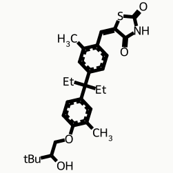 CCC(CC)(c1ccc(C=C2SC(=O)NC2=O)c(C)c1)c1ccc(OCC(O)C(C)(C)C)c(C)c1